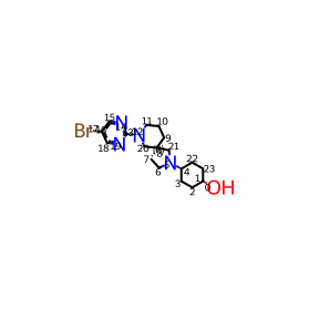 O[C@H]1CC[C@@H](N2CC[C@]3(CCCN(c4ncc(Br)cn4)C3)C2)CC1